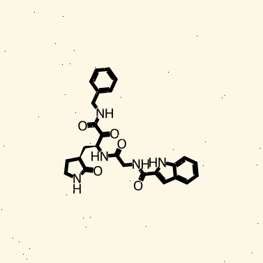 O=C(CNC(=O)c1cc2ccccc2[nH]1)N[C@@H](C[C@@H]1CCNC1=O)C(=O)C(=O)NCc1ccccc1